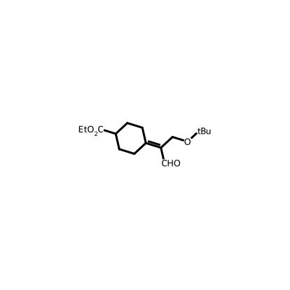 CCOC(=O)C1CCC(=C(C=O)COC(C)(C)C)CC1